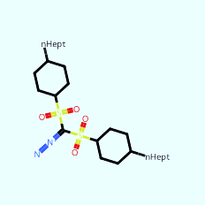 CCCCCCCC1CCC(S(=O)(=O)C(=[N+]=[N-])S(=O)(=O)C2CCC(CCCCCCC)CC2)CC1